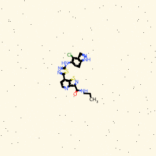 CCCNC(=O)c1nsc2c(-c3nnc(Nc4ccc5[nH]ncc5c4Cl)s3)ccnc12